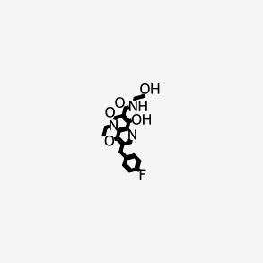 O=C(NCCO)c1c(O)c2ncc(Cc3ccc(F)cc3)c3c2n(c1=O)CCO3